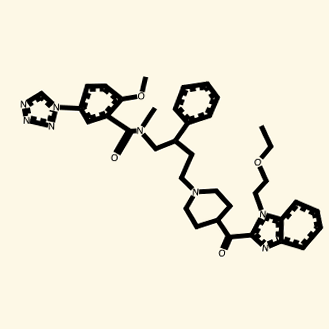 CCOCCn1c(C(=O)C2CCN(CCC(CN(C)C(=O)c3cc(-n4cnnn4)ccc3OC)c3ccccc3)CC2)nc2ccccc21